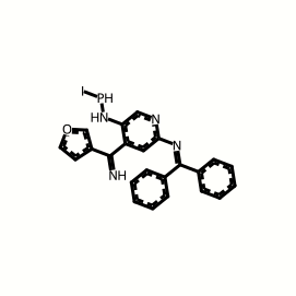 N=C(c1ccoc1)c1cc(N=C(c2ccccc2)c2ccccc2)ncc1NPI